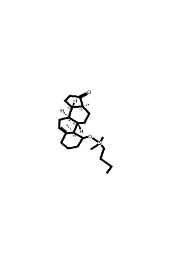 CCCC[Si](C)(C)OC1CCCC2=CC[C@H]3[C@@H]4CCC(=O)[C@@]4(C)CC[C@@H]3[C@]21C